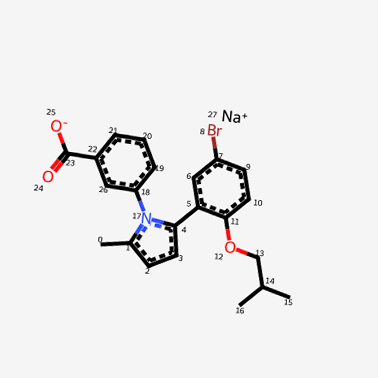 Cc1ccc(-c2cc(Br)ccc2OCC(C)C)n1-c1cccc(C(=O)[O-])c1.[Na+]